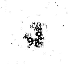 CN(C(C)(C)C)S(=O)(=O)c1ccc(Nc2nn(C3(CC#N)CCC(C(=O)O)OC3)c3cc[nH]c(=O)c23)cc1